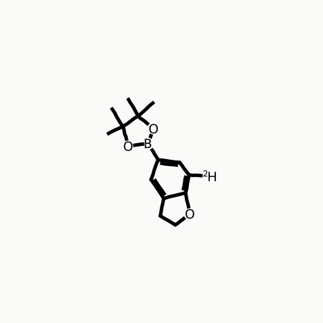 [2H]c1cc(B2OC(C)(C)C(C)(C)O2)cc2c1OCC2